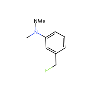 CNN(C)c1cccc(CF)c1